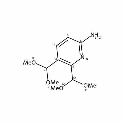 COC(OC)c1ccc(N)nc1C(OC)OC